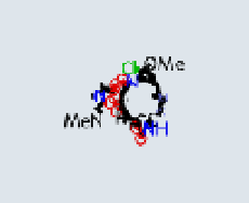 CNCCC(=O)N(C)[C@@H](C)C(=O)O[C@H]1CC(=O)N(C)c2cc(cc(OC)c2Cl)C/C(C)=C/C=C/CC2C[C@H](OC(=O)N2)[C@@H](C)[C@@H]2O[C@@]12C